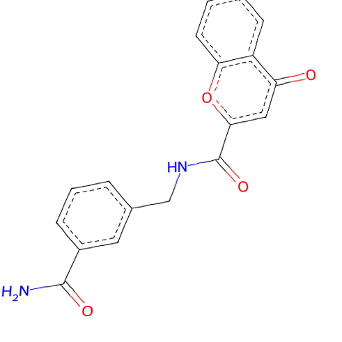 NC(=O)c1cccc(CNC(=O)c2cc(=O)c3ccccc3o2)c1